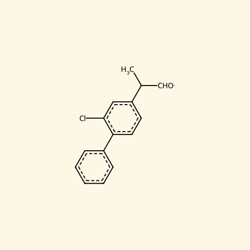 CC([C]=O)c1ccc(-c2ccccc2)c(Cl)c1